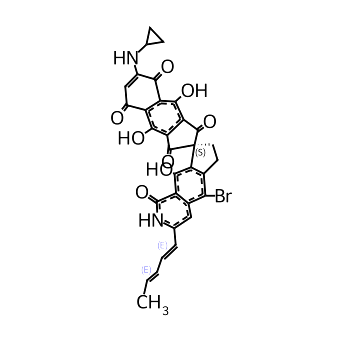 C/C=C/C=C/c1cc2c(Br)c3c(c(O)c2c(=O)[nH]1)[C@@]1(CC3)C(=O)c2c(O)c3c(c(O)c2C1=O)C(=O)C(NC1CC1)=CC3=O